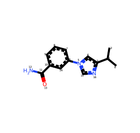 CC(C)c1cn(-c2cccc(C(N)=O)c2)cn1